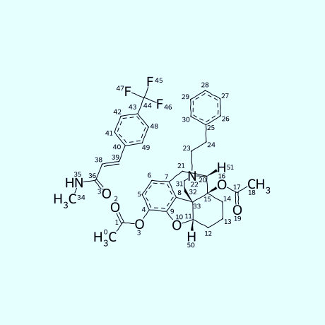 CC(=O)Oc1ccc2c3c1O[C@H]1CCC[C@@]4(OC(C)=O)[C@@H](C2)N(CCc2ccccc2)CC[C@]314.CNC(=O)/C=C/c1ccc(C(F)(F)F)cc1